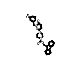 COc1cccc(Cn2nc(N3CCN(C(=O)OCC4c5ccccc5-c5ccccc54)CC3)ccc2=O)c1